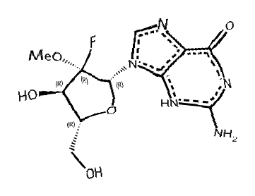 CO[C@@]1(F)[C@H](O)[C@@H](CO)O[C@H]1n1cnc2c(=O)nc(N)[nH]c21